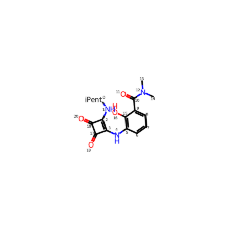 CCCC(C)Nc1c(Nc2cccc(C(=O)N(C)C)c2O)c(=O)c1=O